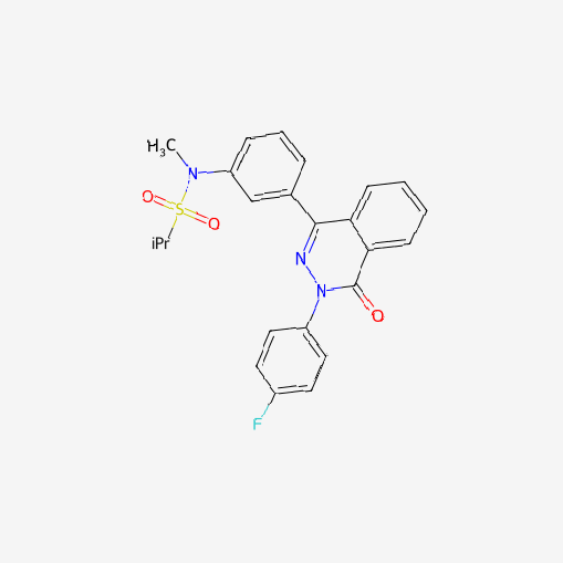 CC(C)S(=O)(=O)N(C)c1cccc(-c2nn(-c3ccc(F)cc3)c(=O)c3ccccc23)c1